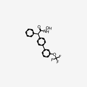 O=C(NO)C(c1ccccc1)c1ccc(-c2cccc(OC(F)(F)F)c2)cc1